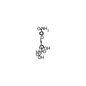 NC(=O)c1ccc(OCC#Cc2cnc(C(=O)NCC(=O)O)c(O)c2)cc1